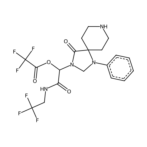 O=C(NCC(F)(F)F)C(OC(=O)C(F)(F)F)N1CN(c2ccccc2)C2(CCNCC2)C1=O